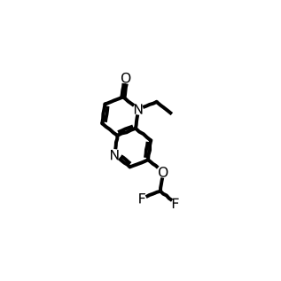 CCn1c(=O)ccc2ncc(OC(F)F)cc21